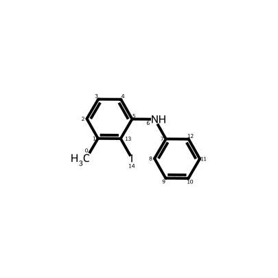 Cc1cccc(Nc2ccccc2)c1I